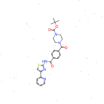 CC(C)(C)OC(=O)N1CCN(C(=O)c2ccc(C(=O)Nc3nc(-c4ccccn4)cs3)cc2)CC1